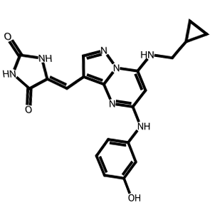 O=C1NC(=O)/C(=C/c2cnn3c(NCC4CC4)cc(Nc4cccc(O)c4)nc23)N1